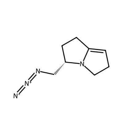 [N-]=[N+]=NC[C@@H]1CCC2=CCCN21